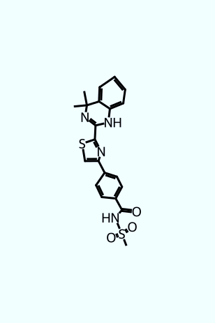 CC1(C)N=C(c2nc(-c3ccc(C(=O)NS(C)(=O)=O)cc3)cs2)Nc2ccccc21